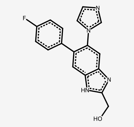 OCc1nc2cc(-n3ccnc3)c(-c3ccc(F)cc3)cc2[nH]1